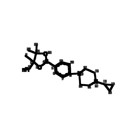 CCCC1(C)OB(c2ccc(N3CCN(C4CC4)CC3)cc2)OC1(C)C